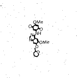 COC1=CC(=O)C(Nc2ncnc3cc(OCC4CCCCO4)c(OC)cc23)=CC1=O